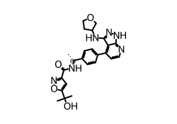 C[C@@H](NC(=O)c1cc(C(C)(C)O)on1)c1ccc(-c2ccnc3[nH]nc(NC4CCOC4)c23)cc1